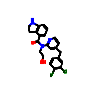 O=C(c1cccc2c1CCN2)N(CCO)c1cc(Cc2ccc(F)c(Cl)c2)ccn1